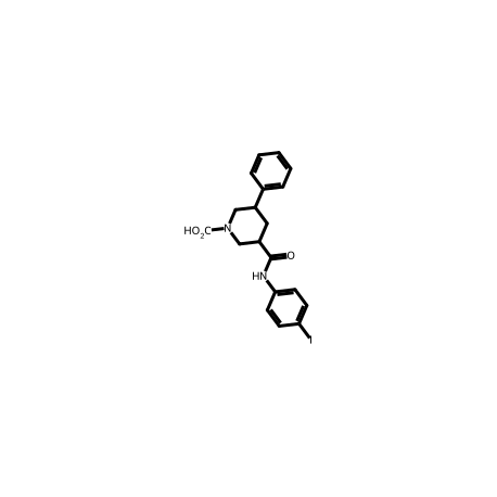 O=C(Nc1ccc(I)cc1)C1CC(c2ccccc2)CN(C(=O)O)C1